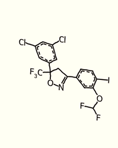 FC(F)Oc1cc(C2=NOC(c3cc(Cl)cc(Cl)c3)(C(F)(F)F)C2)ccc1I